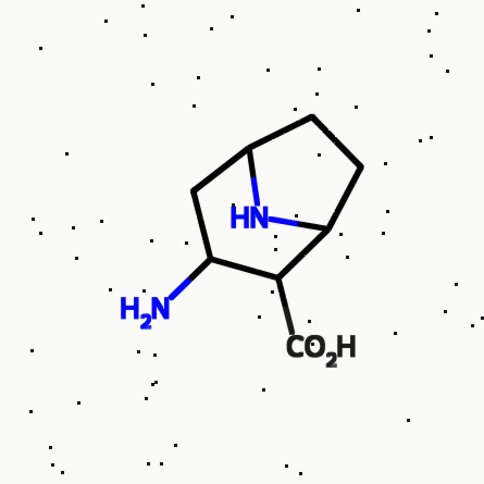 NC1CC2CCC(N2)C1C(=O)O